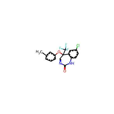 Cc1cccc(OC2(C(F)(F)F)C=NC(=O)Nc3ccc(Cl)cc32)c1